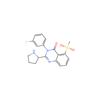 CS(=O)(=O)c1cccc2nc(C3CCCN3)n(-c3cccc(F)c3)c(=O)c12